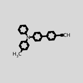 C#Cc1ccc(-c2ccc(N(c3ccccc3)c3ccc(C)cc3)cc2)cc1